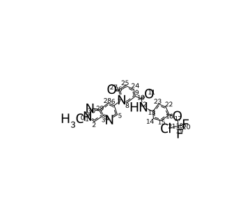 Cn1cc2ncc(-n3cc(C(=O)Nc4ccc(OC(F)(F)Cl)cc4)ccc3=O)cc2n1